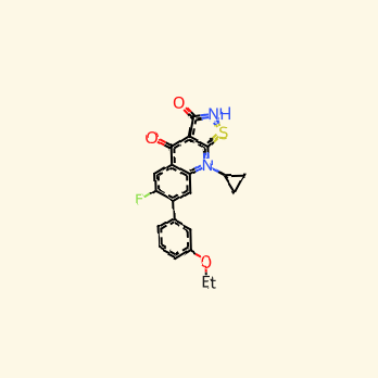 CCOc1cccc(-c2cc3c(cc2F)c(=O)c2c(=O)[nH]sc2n3C2CC2)c1